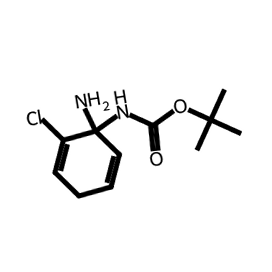 CC(C)(C)OC(=O)NC1(N)C=CCC=C1Cl